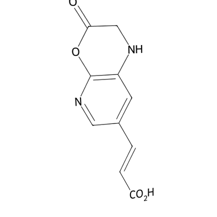 O=C(O)/C=C/c1cnc2c(c1)NCC(=O)O2